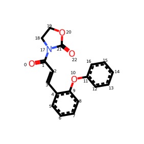 O=C(C=Cc1ccccc1Oc1ccccc1)N1CCOC1=O